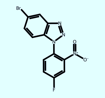 O=[N+]([O-])c1cc(F)ccc1-n1nnc2cc(Br)ccc21